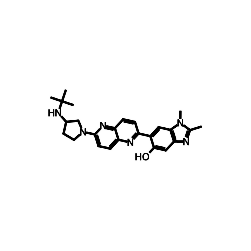 Cc1nc2cc(O)c(-c3ccc4nc(N5CCC(NC(C)(C)C)C5)ccc4n3)cc2n1C